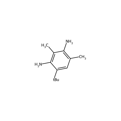 Cc1cc(C(C)(C)C)c(N)c(C)c1N